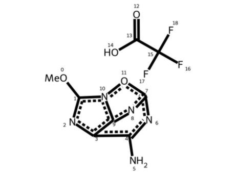 COc1nc2c(N)nc3nc2n1o3.O=C(O)C(F)(F)F